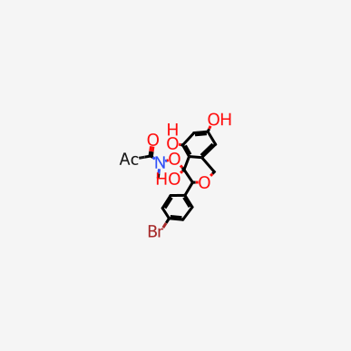 CC(=O)C(=O)N(C)OC1(O)c2c(O)cc(O)cc2COC1c1ccc(Br)cc1